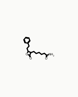 NC(=O)CCCCCC1C(=O)OC1CCc1ccccc1